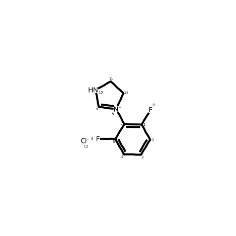 Fc1cccc(F)c1[N+]1=CNCC1.[Cl-]